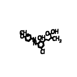 C=C(CCc1cc(Cl)cc(N=Nc2ccc(OC)cc2)c1O)C(=O)O